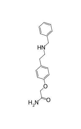 NC(=O)COc1ccc(CCNCc2ccccc2)cc1